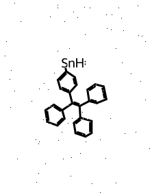 [SnH][c]1ccc(C(=C(c2ccccc2)c2ccccc2)c2ccccc2)cc1